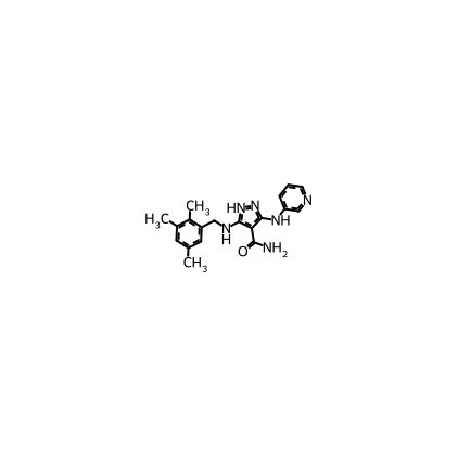 Cc1cc(C)c(C)c(CNc2[nH]nc(Nc3cccnc3)c2C(N)=O)c1